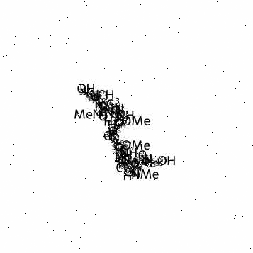 CNC(=O)c1nc(-c2cn(CCCO)nc2C)ccc1Nc1nc(Nc2ccc(CO[PH](=O)OCc3ccc(Nc4ncc(C(F)(F)F)c(Nc5ccc(-c6cn(CCCO)nc6C)nc5C(=O)NC)n4)c(OC)c3)cc2OC)ncc1C(F)(F)F